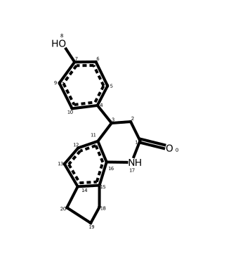 O=C1CC(c2ccc(O)cc2)c2ccc3c(c2N1)CCC3